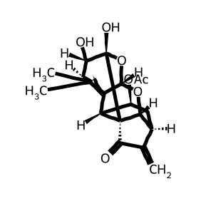 C=C1C(=O)[C@@]23[C@@H]4O[C@H]5O[C@@]2(O)[C@@H](O)[C@@H]2C(C)(C)CCC[C@]52[C@@H]3[C@@H](OC(C)=O)C[C@@H]14